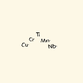 [Cr].[Cu].[Mn].[Nb].[Ti]